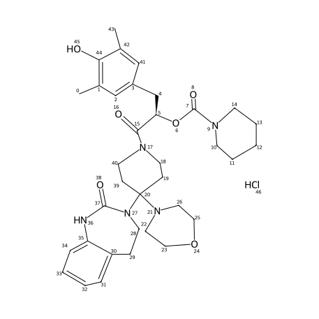 Cc1cc(C[C@@H](OC(=O)N2CCCCC2)C(=O)N2CCC(N3CCOCC3)(N3CCc4ccccc4NC3=O)CC2)cc(C)c1O.Cl